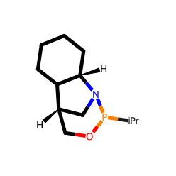 CC(C)P1OC[C@H]2CN1[C@H]1CCCCC21